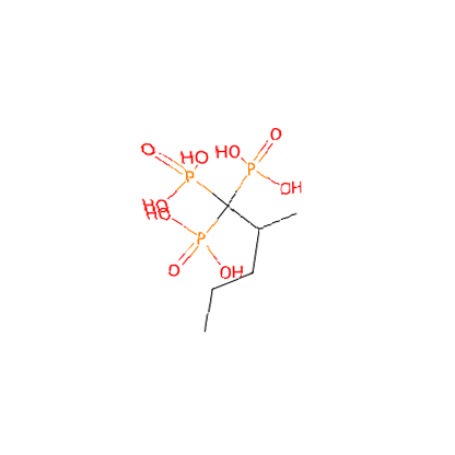 CCCC(C)C(P(=O)(O)O)(P(=O)(O)O)P(=O)(O)O